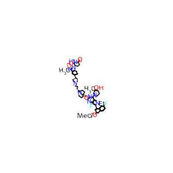 CCc1c(F)ccc2cc(OCOC)cc(-c3ncc4c(N5CCC[C@@](C)(O)C5)nc(OC[C@]56CCCN5[C@H](CCCN5CCC(c7ccc8c(c7)n(C)c(=O)n8C7CCC(=O)NC7=O)CC5)CC6)nc4c3F)c12